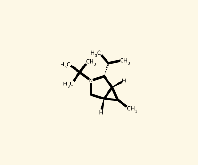 CC(C)[C@@H]1[C@@H]2C(C)[C@@H]2CN1C(C)(C)C